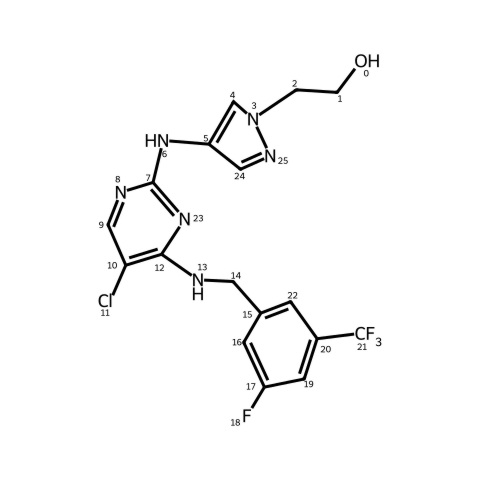 OCCn1cc(Nc2ncc(Cl)c(NCc3cc(F)cc(C(F)(F)F)c3)n2)cn1